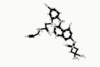 CC1(C)CS(=O)(=Nc2cc(F)c3c(Nc4ccc(F)cc4OCC(=O)NCC#N)ncnc3c2)C1